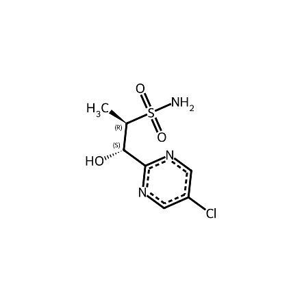 C[C@H]([C@@H](O)c1ncc(Cl)cn1)S(N)(=O)=O